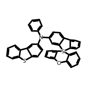 c1ccc(N(c2ccc3c(c2)[Si]2(c4ccccc4Oc4ccccc42)c2ccccc2-3)c2ccc3sc4ccccc4c3c2)cc1